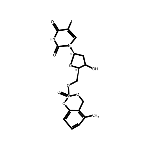 Cc1cccc2c1COP(=O)(OC[C@H]1O[C@@H](n3cc(I)c(=O)[nH]c3=O)CC1O)O2